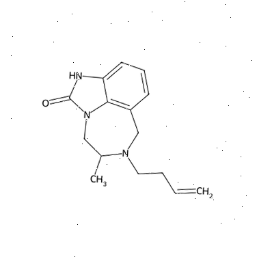 C=CCCN1Cc2cccc3[nH]c(=O)n(c23)CC1C